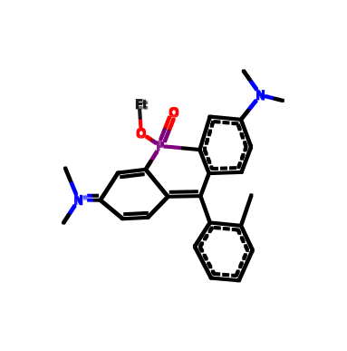 CCOP1(=O)C2=CC(=[N+](C)C)C=CC2=C(c2ccccc2C)c2ccc(N(C)C)cc21